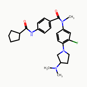 CN(C(=O)c1ccc(NC(=O)C2CCCC2)cc1)c1ccc(N2CCC(N(C)C)C2)c(F)c1